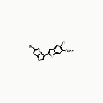 COc1cc2oc(-c3cnc4sc(Br)nn34)cc2cc1Cl